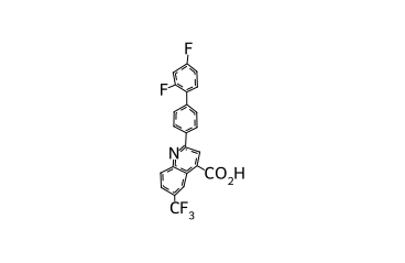 O=C(O)c1cc(-c2ccc(-c3ccc(F)cc3F)cc2)nc2ccc(C(F)(F)F)cc12